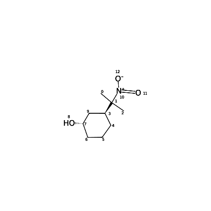 CC(C)([C@H]1CCC[C@H](O)C1)[N+](=O)[O-]